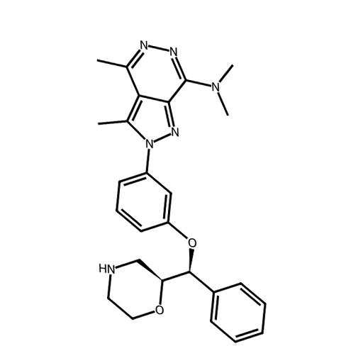 Cc1nnc(N(C)C)c2nn(-c3cccc(O[C@@H](c4ccccc4)[C@@H]4CNCCO4)c3)c(C)c12